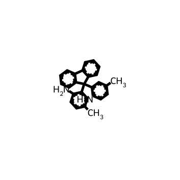 Cc1ccc(N)c(C2(c3cc(C)ccc3N)c3ccccc3-c3ccccc32)c1